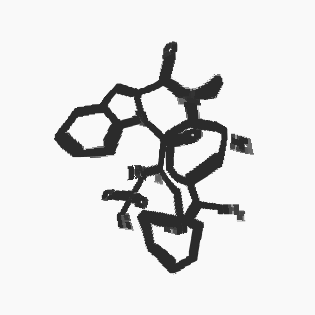 CCS(=O)(=O)N[C@H](Cc1ccccc1)C(=O)n1c(C(=O)N(C)c2ccc(C(=N)N)cc2)cc2ccccc21.Cl